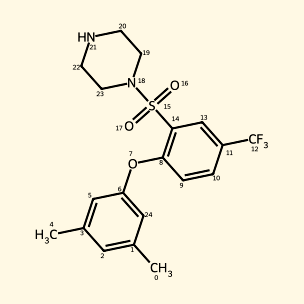 Cc1cc(C)cc(Oc2ccc(C(F)(F)F)cc2S(=O)(=O)N2CCNCC2)c1